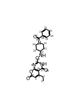 CCc1cc(=O)oc2nc(ONC3CCN(C(=O)c4ccccc4)CC3)[nH]c(=O)c12